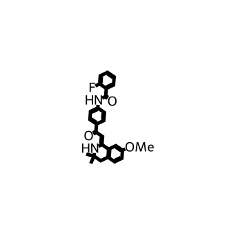 COc1ccc2c(c1)C(=CC(=O)c1ccc(NC(=O)c3ccccc3F)cc1)NC(C)(C)C2